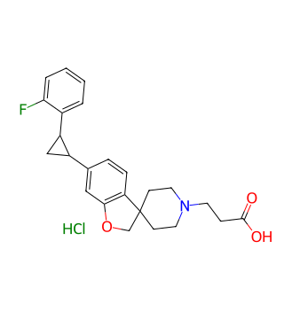 Cl.O=C(O)CCN1CCC2(CC1)COc1cc(C3CC3c3ccccc3F)ccc12